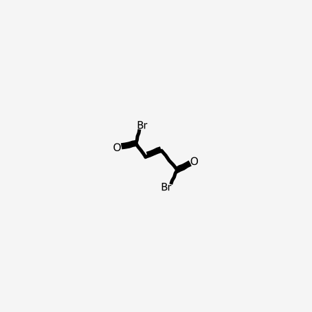 O=C(Br)C=CC(=O)Br